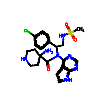 CS(=O)(=O)NCC(c1ccc(Cl)cc1)N(C(=O)C1(N)CCNCC1)c1ncnc2[nH]ccc12